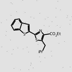 CCOC(=O)c1nc(-c2cc3ccccc3s2)sc1CC(C)C